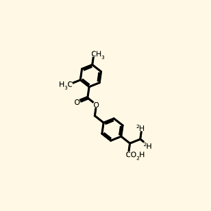 [2H]C([2H])C(C(=O)O)c1ccc(COC(=O)c2ccc(C)cc2C)cc1